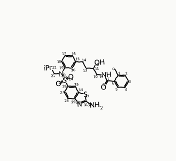 Cc1ccccc1C(=O)NCC(O)CCc1cccc(N(CC(C)C)S(=O)(=O)c2ccc3nc(N)sc3c2)c1